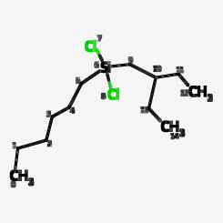 CCCCCC[Si](Cl)(Cl)CC(CC)CC